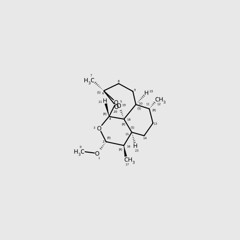 CO[C@@H]1O[C@@H]2O[C@]3(C)CC[C@H]4[C@H](C)CC[C@@H]([C@H]1C)[C@@]24OO3